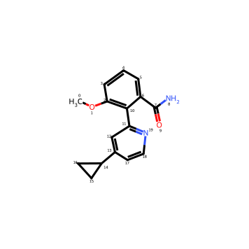 COc1cccc(C(N)=O)c1-c1cc(C2CC2)ccn1